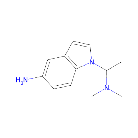 CC(N(C)C)n1ccc2cc(N)ccc21